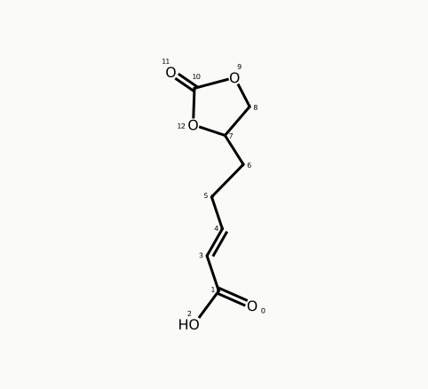 O=C(O)/C=C/CCC1COC(=O)O1